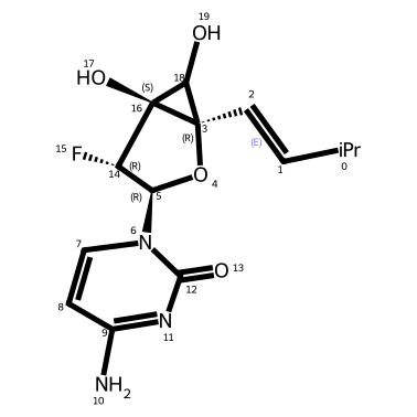 CC(C)/C=C/[C@]12O[C@@H](n3ccc(N)nc3=O)[C@H](F)[C@]1(O)C2O